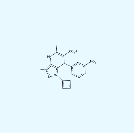 CC1=C(C(=O)O)C(c2cccc([N+](=O)[O-])c2)c2c(C3=CC=C3)nn(C)c2N1